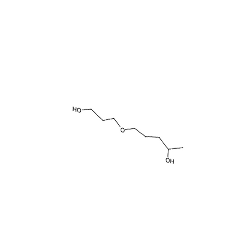 CC(O)CCCOCCCO